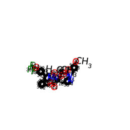 COc1ccc(CN(C(=O)OC(C)(C)C)c2cc(C[C@H]3C(=O)N(C(=O)N4CCCC(c5ccc(OC(F)(F)F)cc5)C4)[C@@H]3C(=O)OCc3ccccc3)ccn2)cc1